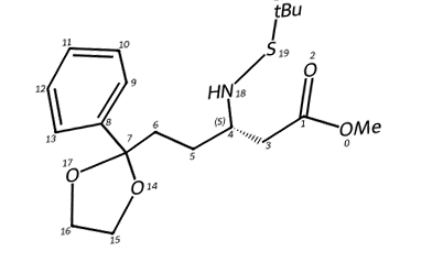 COC(=O)C[C@H](CCC1(c2ccccc2)OCCO1)NSC(C)(C)C